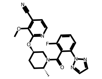 COc1c(C#N)ccnc1O[C@@H]1CC[C@@H](C)N(C(=O)c2c(F)cccc2-n2nccn2)C1